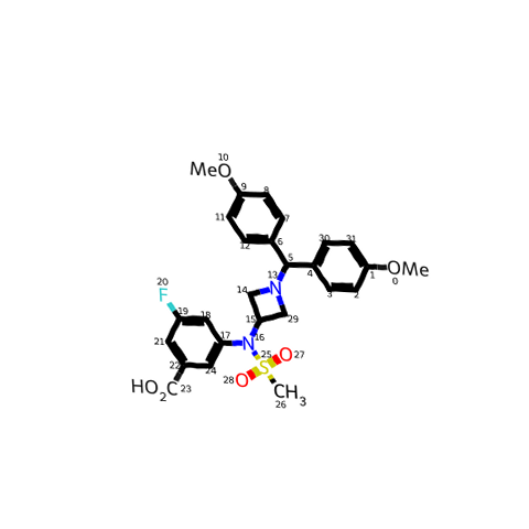 COc1ccc(C(c2ccc(OC)cc2)N2CC(N(c3cc(F)cc(C(=O)O)c3)S(C)(=O)=O)C2)cc1